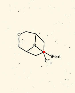 CCCC(C)C1CC2COCC(C1)N2CC(F)(F)F